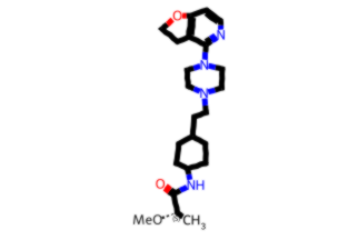 CO[C@@H](C)C(=O)NC1CCC(CCN2CCN(c3nccc4c3CCO4)CC2)CC1